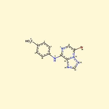 O=C(O)c1ccc(Nc2ncc(Br)n3ncnc23)cc1